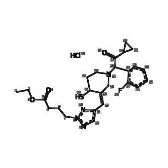 CCOC(=O)CCCn1ncc(C=C2CN(C(C(=O)C3CC3)c3ccccc3F)CCC2S)n1.Cl